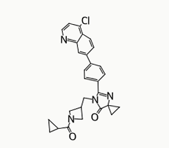 O=C(C1CC1)N1CC(CN2C(=O)C3(CC3)N=C2c2ccc(-c3ccc4c(Cl)ccnc4c3)cc2)C1